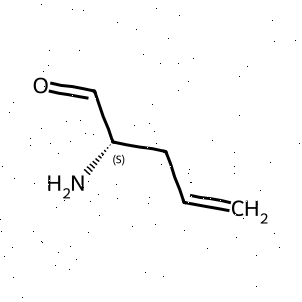 C=CC[C@H](N)C=O